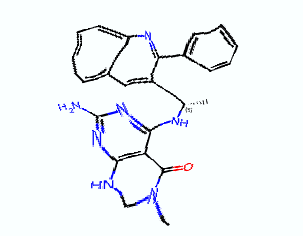 C[C@H](Nc1nc(N)nc2c1C(=O)N(C)CN2)c1cc2ccccc2nc1-c1ccccc1